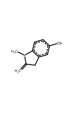 C=C1Cc2cc(C#N)ccc2N1C